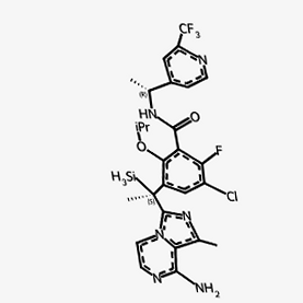 Cc1nc([C@@](C)([SiH3])c2cc(Cl)c(F)c(C(=O)N[C@H](C)c3ccnc(C(F)(F)F)c3)c2OC(C)C)n2ccnc(N)c12